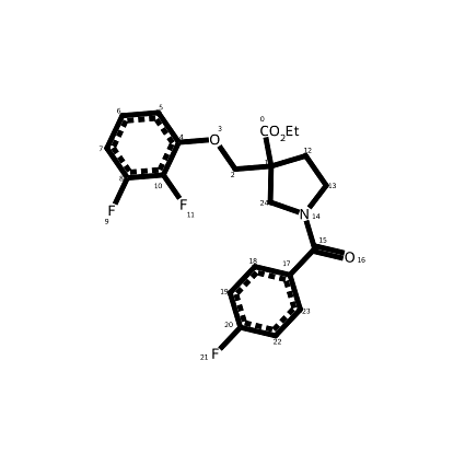 CCOC(=O)C1(COc2cccc(F)c2F)CCN(C(=O)c2ccc(F)cc2)C1